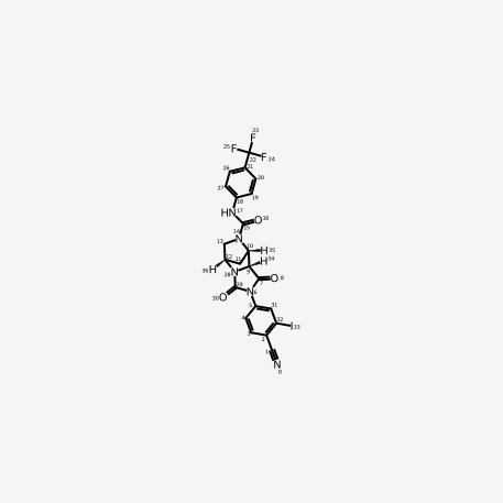 N#Cc1ccc(N2C(=O)[C@H]3[C@@H]4C[C@@H](CN4C(=O)Nc4ccc(C(F)(F)F)cc4)N3C2=O)cc1I